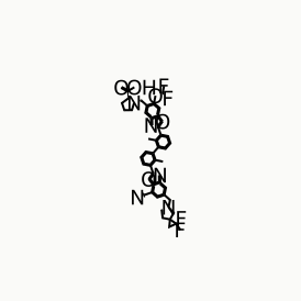 Cc1c(-c2nc3cc(CN4CCC[C@H]4C(=O)O)c(OC(F)F)cc3o2)cccc1-c1cccc(-c2nc3cc(CN4CCC5(C4)CC5(F)F)cc(C#N)c3o2)c1C